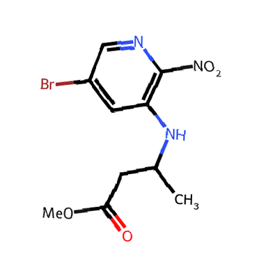 COC(=O)CC(C)Nc1cc(Br)cnc1[N+](=O)[O-]